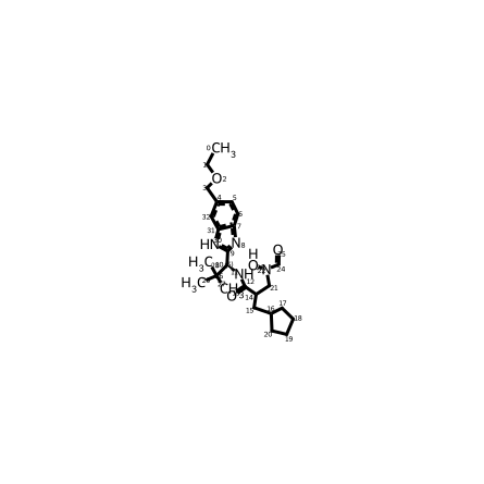 CCOCc1ccc2nc([C@@H](NC(=O)C(CC3CCCC3)CN(O)C=O)C(C)(C)C)[nH]c2c1